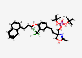 CC1=NC(CCc2ccc(OCCCC3CCCc4ccccc43)c(C(F)(F)F)c2)(COP(=O)(OC(C)(C)C)OC(C)(C)C)CO1